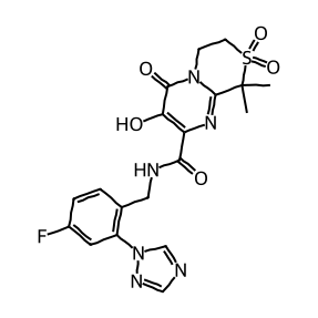 CC1(C)c2nc(C(=O)NCc3ccc(F)cc3-n3cncn3)c(O)c(=O)n2CCS1(=O)=O